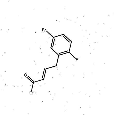 O=C(O)C=CCc1cc(Br)ccc1F